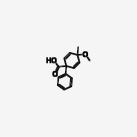 COC1(C)C=CC(C(=O)O)(c2ccccc2)C=C1